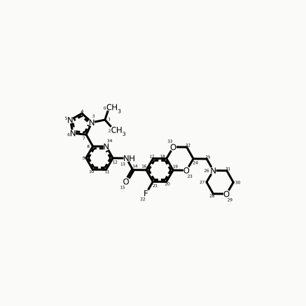 CC(C)n1cnnc1-c1cccc(NC(=O)c2cc3c(cc2F)OC(CN2CCOCC2)CO3)n1